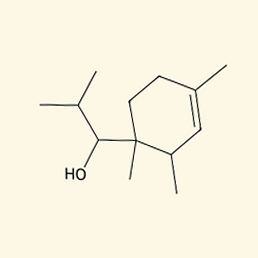 CC1=CC(C)C(C)(C(O)C(C)C)CC1